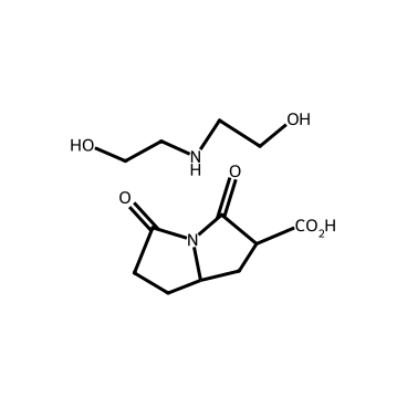 O=C(O)C1CC2CCC(=O)N2C1=O.OCCNCCO